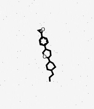 CCCC1CCC(C2CCC(c3ccc(C4CO4)cc3)CO2)CC1